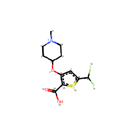 CN1CCC(Oc2cc(C(F)F)sc2C(=O)O)CC1